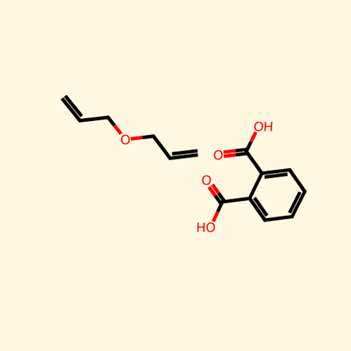 C=CCOCC=C.O=C(O)c1ccccc1C(=O)O